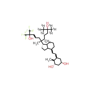 [2H]C([2H])([2H])C(O)(CCC[C@@](C)(C/C=C/C(O)(C(F)(F)F)C(F)(F)F)[C@H]1CCC2/C(=C/C=C3/C[C@@H](O)C[C@H](O)C3=C)CCC[C@@]21C)C([2H])([2H])[2H]